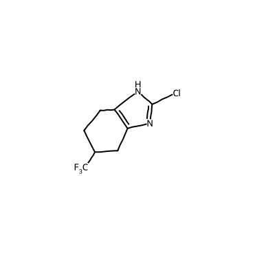 FC(F)(F)C1CCc2[nH]c(Cl)nc2C1